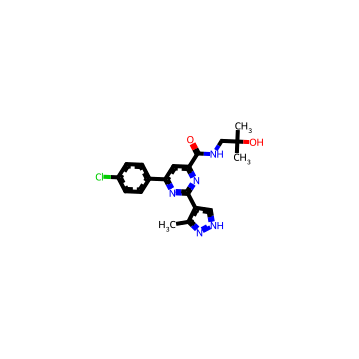 Cc1n[nH]cc1-c1nc(C(=O)NCC(C)(C)O)cc(-c2ccc(Cl)cc2)n1